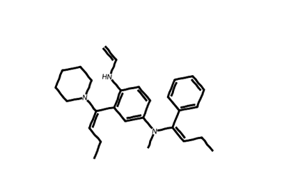 C=CNc1ccc(N(C)/C(=C/CC)c2ccccc2)cc1/C(=C\CC)N1CCCCC1